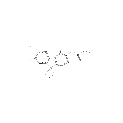 COc1ccc(C2(c3ccc(OC(=O)CC(C)=O)c(C)c3)CCC2)cc1C